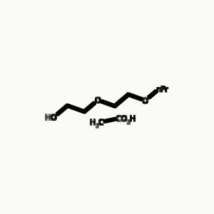 CC(=O)O.CCCOCCOCCO